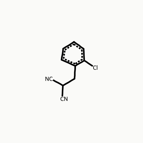 N#CC(C#N)Cc1ccccc1Cl